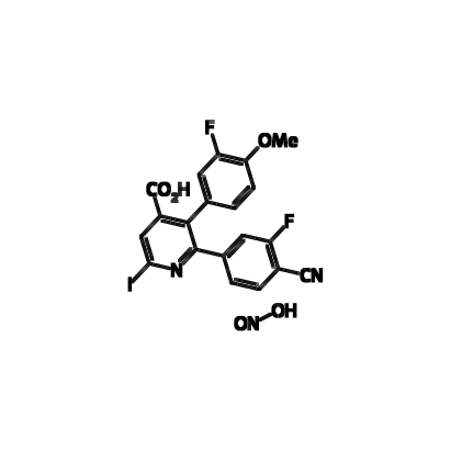 COc1ccc(-c2c(C(=O)O)cc(I)nc2-c2ccc(C#N)c(F)c2)cc1F.O=NO